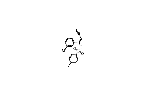 Cc1ccc(S(=O)(=O)OC(=CC#N)c2cccc(Cl)c2)cc1